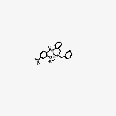 O=C(c1ccc([N+](=O)[O-])cc1Cl)N1C[C@@H](CO)N(Cc2ccccc2)Cc2ccccc21